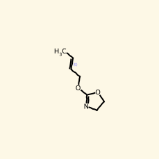 C/C=C/COC1=NCCO1